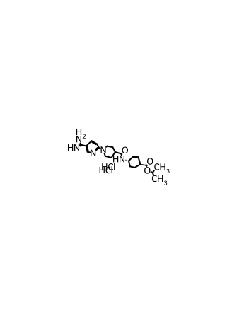 CC(C)OC(=O)[C@H]1CC[C@H](NC(=O)C2CCN(c3ccc(C(=N)N)cn3)CC2)CC1.Cl.Cl